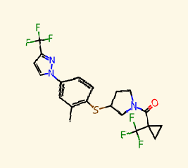 Cc1cc(-n2ccc(C(F)(F)F)n2)ccc1SC1CCN(C(=O)C2(C(F)(F)F)CC2)C1